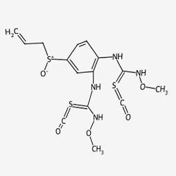 C=CC[S+]([O-])c1ccc(NC(NOC)=S=C=O)c(NC(NOC)=S=C=O)c1